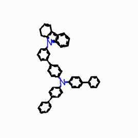 C1=Cc2c(n(-c3cccc(-c4ccc(N(c5ccc(-c6ccccc6)cc5)c5ccc(-c6ccccc6)cc5)cc4)c3)c3ccccc23)CC1